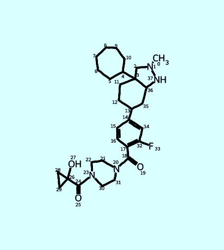 CN1CC2(C3CCCCCC3)CCC(c3ccc(C(=O)N4CCN(C(=O)C5(O)CC5)CC4)c(F)c3)CC2N1